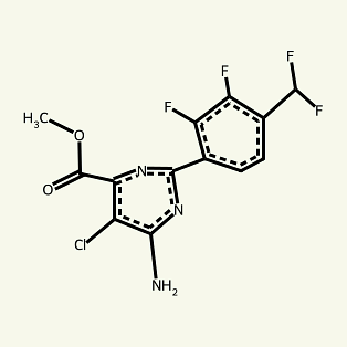 COC(=O)c1nc(-c2ccc(C(F)F)c(F)c2F)nc(N)c1Cl